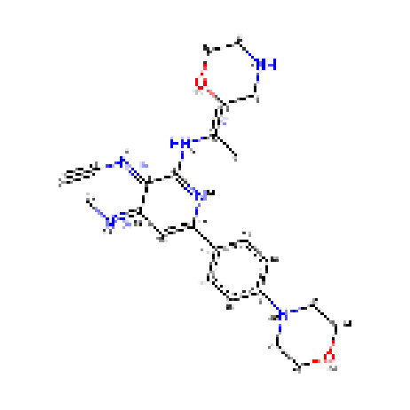 C#C/N=C1/C(N/C(C)=C2/CNCCO2)=NC(c2ccc(N3CCOCC3)cc2)=C/C1=N/C